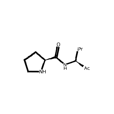 CC(=O)[C@@H](NC(=O)[C@@H]1CCCN1)C(C)C